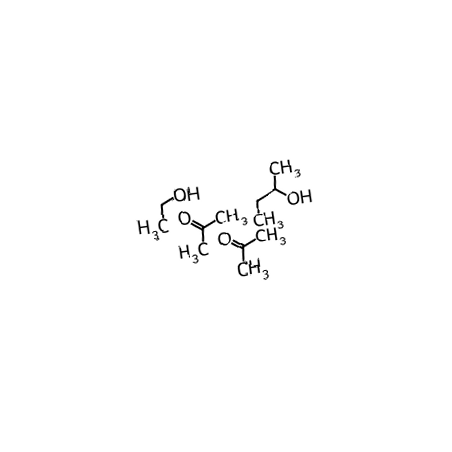 CC(C)=O.CC(C)=O.CCC(C)O.CCO